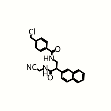 N#CCNC(=O)C(CNC(=O)c1ccc(CCl)cc1)c1ccc2ccccc2c1